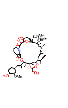 C#C[C@@H](C)[C@@H]1/C=C(\C)C[C@H](C)C[C@H](OC)[C@H]2O[C@@](O)(C(=O)C(=O)N3CCCC[C@H]3C(=O)O[C@H](/C(C)=C/[C@@H]3CC[C@@H](O)[C@H](OC)C3)[C@H](C)[C@@H](OC(=O)CO)CC1=O)[C@H](C)C[C@@H]2OC